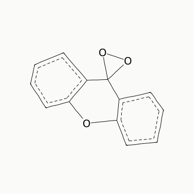 c1ccc2c(c1)Oc1ccccc1C21OO1